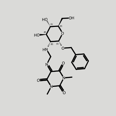 CN1C(=O)C(=NCN[C@H]2[C@@H](OCc3ccccc3)O[C@H](CO)[C@@H](O)[C@@H]2O)C(=O)N(C)C1=O